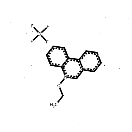 CCO[n+]1cc2ccccc2c2ccccc21.F[B-](F)(F)F